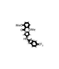 COc1cccc(OC)c1C(=O)N1CCC(Nc2nc3ccc(C(F)(F)F)cc3s2)C1